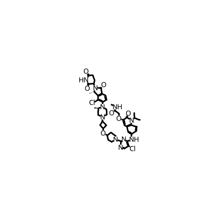 CNC(=O)COc1cc2cc(Nc3nc(N4CCC(OC5CC(N6CCN(c7ccc8c(c7Cl)[C@H](C)N(C7CCC(=O)NC7=O)C8=O)[C@H](C)C6)C5)CC4)ncc3Cl)ccc2n(C(C)C)c1=O